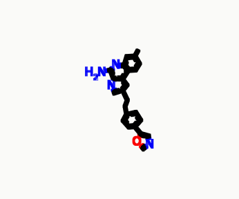 Cc1ccc2c(c1)nc(N)c1ncc(CCc3ccc(-c4cnco4)cc3)cc12